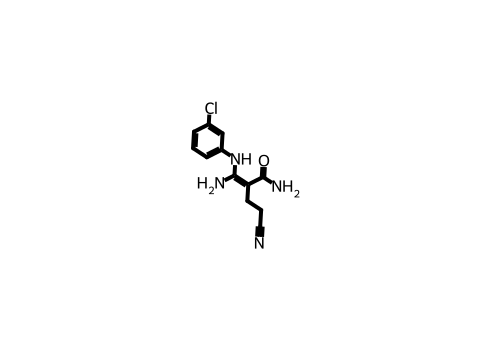 N#CCCC(C(N)=O)=C(N)Nc1cccc(Cl)c1